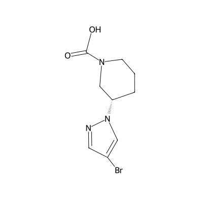 O=C(O)N1CCC[C@H](n2cc(Br)cn2)C1